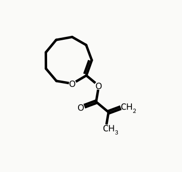 C=C(C)C(=O)O/C1=C/CCCCCCO1